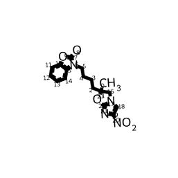 CC1(CCCCn2c(=O)oc3ccccc32)Cn2cc([N+](=O)[O-])nc2O1